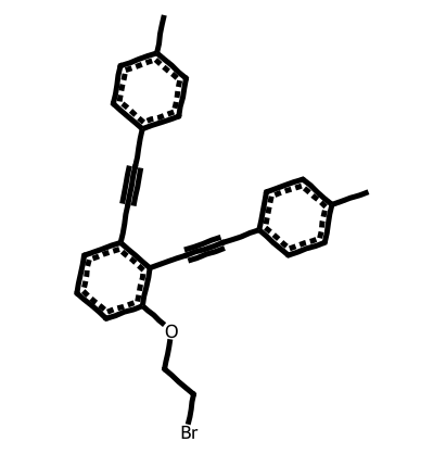 Cc1ccc(C#Cc2cccc(OCCBr)c2C#Cc2ccc(C)cc2)cc1